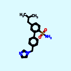 CC(C)Cc1ccc(S(N)(=O)=O)c(-c2ccc(Cn3ccnc3)cc2)c1